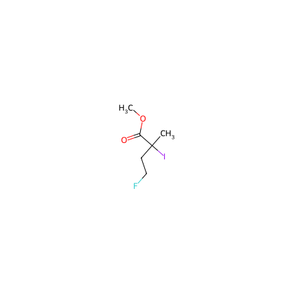 COC(=O)C(C)(I)CCF